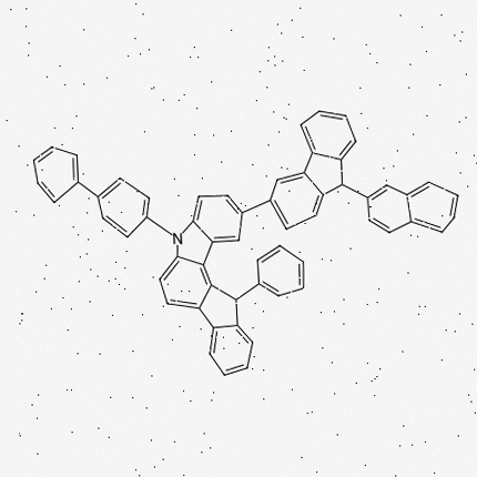 c1ccc(-c2ccc(-n3c4ccc(-c5ccc6c(c5)-c5ccccc5C6c5ccc6ccccc6c5)cc4c4c5c(ccc43)-c3ccccc3C5c3ccccc3)cc2)cc1